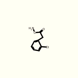 CCc1ccccc1CC(=O)ON